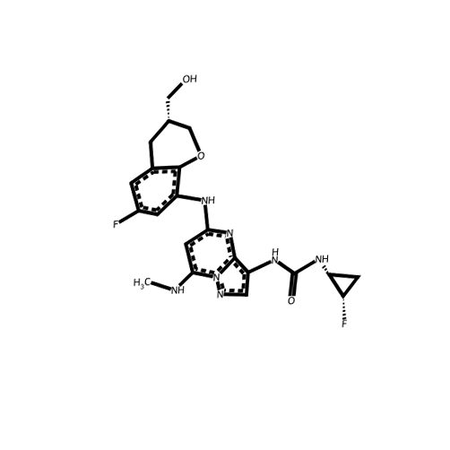 CNc1cc(Nc2cc(F)cc3c2OC[C@@H](CO)C3)nc2c(NC(=O)N[C@@H]3C[C@@H]3F)cnn12